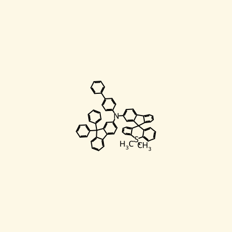 CS1(C)c2ccccc2C2(c3ccccc3-c3ccc(N(c4ccc(-c5ccccc5)cc4)c4ccc5c(c4)C(c4ccccc4)(c4ccccc4)c4ccccc4-5)cc32)c2ccccc21